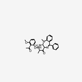 COc1cccc(ONC(C)C(=O)C2N=C(c3ccccc3)c3ccccc3N(C)[C@@H]2N)c1C(C)=O